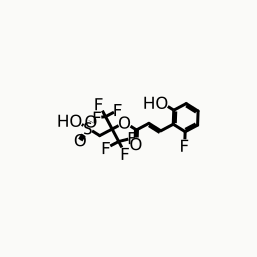 O=C(/C=C/c1c(O)cccc1F)OC(CS(=O)(=O)O)(C(F)(F)F)C(F)(F)F